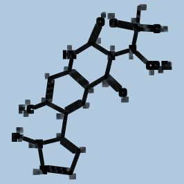 CCOC(=O)N(n1c(=O)[nH]c2cc(C(F)(F)F)c(-c3ccnn3C(C)C)cc2c1=O)S(C)(=O)=O